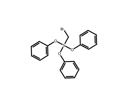 BrC[Si](Oc1ccccc1)(Oc1ccccc1)Oc1ccccc1